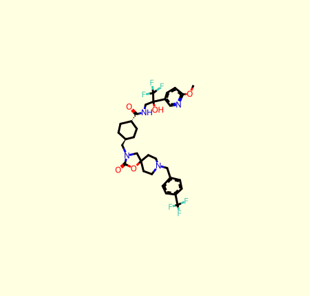 COc1ccc(C(O)(CNC(=O)[C@H]2CC[C@H](CN3CC4(CCN(Cc5ccc(C(F)(F)F)cc5)CC4)OC3=O)CC2)C(F)(F)F)cn1